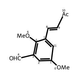 COc1cc(C=O)c(OC)c(C=CC(C)=O)c1